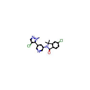 Cn1ncc(Cl)c1-c1cncc(N2C(=O)c3ccc(Cl)cc3C2(C)C)c1